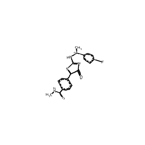 CNC(=O)c1ccc(C2SC(N[C@@H](C)c3ccc(F)cc3)=NC2=O)cc1